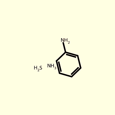 N.Nc1ccccc1.S